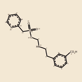 O=C(O)c1cccc(CCNCOS(=O)(=O)Cc2ccccn2)c1